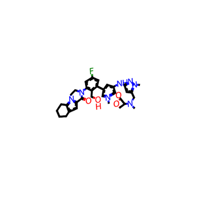 CN(Cc1cc(Nc2cc(-c3cc(F)cc(N4CCn5c(cc6c5CCCC6)C4=O)c3CO)cn(C)c2=O)nn1C)C1COC1